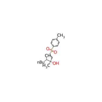 CCCCC(C)C(C)(O)CCS(=O)(=O)c1ccc(C)cc1